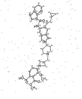 COC(=O)c1c(C(=O)O)ccc(N2CC(CN3CCC(n4cc5cc(NC(=O)c6cnn7cccnc67)c(OCC6CC6)cc5n4)CC3)C2)c1OC